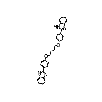 c1ccc2[nH]c(-c3ccc(OCCCCOc4ccc(-c5nc6ccccc6[nH]5)cc4)cc3)nc2c1